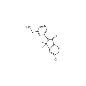 CC1(C)c2cc(Cl)ccc2C(=O)N1c1cncc(CO)c1